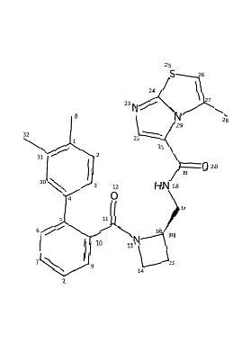 Cc1ccc(-c2ccccc2C(=O)N2CC[C@@H]2CNC(=O)c2cnc3scc(C)n23)cc1C